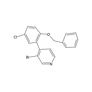 Clc1ccc(OCc2ccccc2)c(-c2ccncc2Br)c1